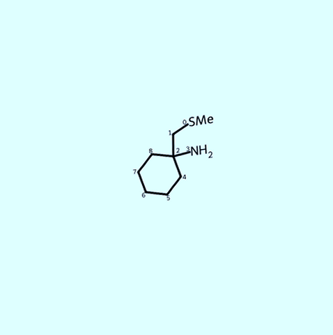 CSCC1(N)CCCCC1